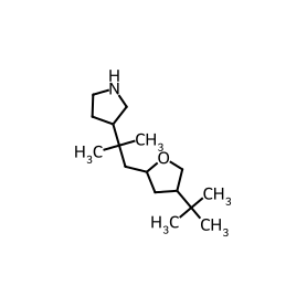 CC(C)(C)C1COC(CC(C)(C)C2CCNC2)C1